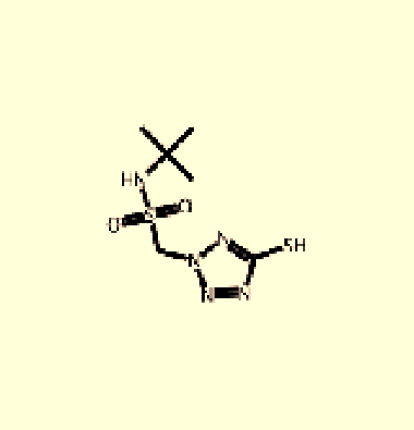 CC(C)(C)NS(=O)(=O)Cn1nnc(S)n1